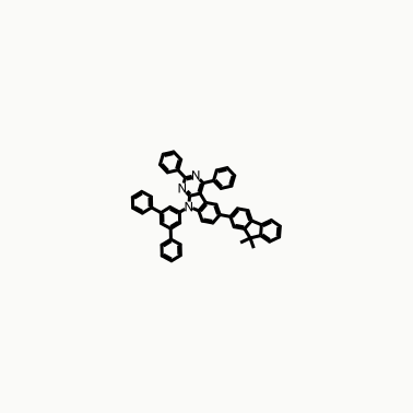 CC1(C)c2ccccc2-c2ccc(-c3ccc4c(c3)c3c(-c5ccccc5)nc(-c5ccccc5)nc3n4-c3cc(-c4ccccc4)cc(-c4ccccc4)c3)cc21